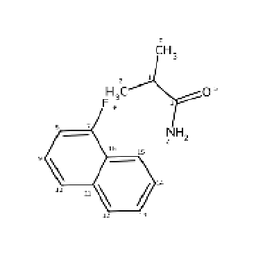 CC(C)C(N)=O.Fc1cccc2ccccc12